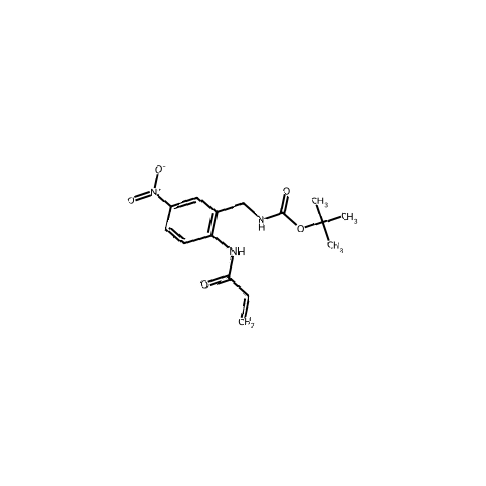 C=CC(=O)Nc1ccc([N+](=O)[O-])cc1CNC(=O)OC(C)(C)C